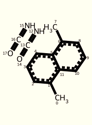 Cc1cccc2c(C)cccc12.N=C=O.N=C=O